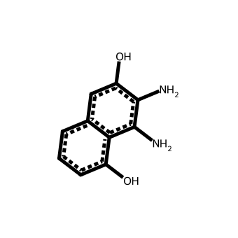 Nc1c(O)cc2cccc(O)c2c1N